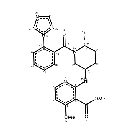 COC(=O)c1c(OC)ccnc1N[C@@H]1CC[C@@H](C)N(C(=O)c2ccccc2-n2ncnn2)C1